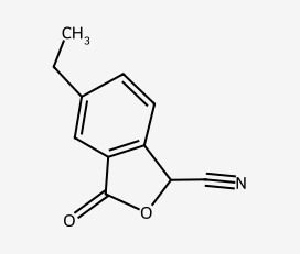 CCc1ccc2c(c1)C(=O)OC2C#N